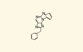 C1=Cc2nc3ncc4nc(Cc5ccccc5)nc4n3c2=C1